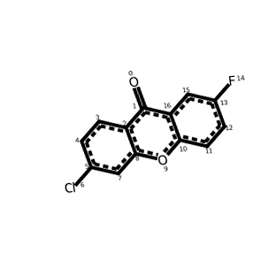 O=c1c2ccc(Cl)cc2oc2ccc(F)cc12